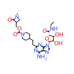 CCNC(=O)[C@H]1O[C@@H](n2cnc3c(N)nc(CCC4CCN(C(=O)OCC5CN(C)C5=O)CC4)nc32)C(O)C1O